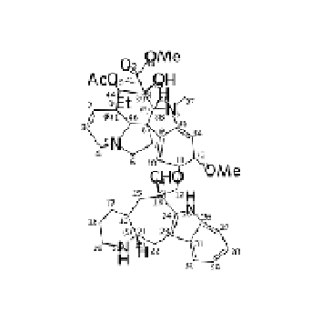 CC[C@]12C=CCN3CCC4(C5=CC(C[C@@]6(C=O)CC7CCCN[C@H]7Cc7c6[nH]c6ccccc76)C(OC)C=C5N(C)[C@H]4[C@@](O)(C(=O)OC)C1OC(C)=O)C32